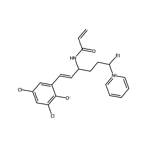 C=CC(=O)NC(C=Cc1cc(Cl)cc(Cl)c1[O-])CCC(CC)[n+]1ccccc1